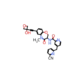 CN1C(=O)C(NC(=O)c2cc(Cc3cccc(C#N)n3)ccn2)COc2ccc(C#CC3(O)COC3)cc21